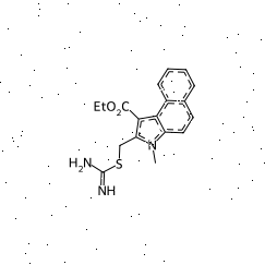 CCOC(=O)c1c(CSC(=N)N)n(C)c2ccc3ccccc3c12